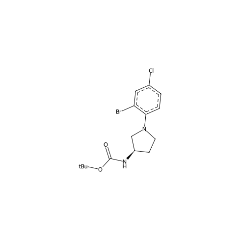 CC(C)(C)OC(=O)N[C@@H]1CCN(c2ccc(Cl)cc2Br)C1